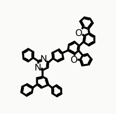 c1ccc(-c2cc(-c3ccccc3)cc(-c3cc(-c4ccc(-c5ccc(-c6cccc7c6oc6ccccc67)c6c5oc5ccccc56)cc4)nc(-c4ccccc4)n3)c2)cc1